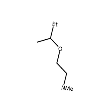 CCC(C)OCCNC